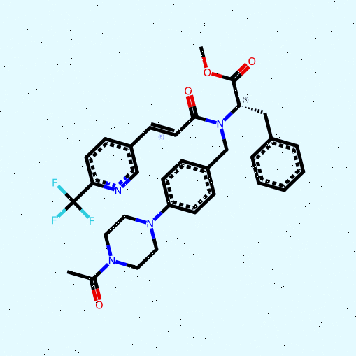 COC(=O)[C@H](Cc1ccccc1)N(Cc1ccc(N2CCN(C(C)=O)CC2)cc1)C(=O)/C=C/c1ccc(C(F)(F)F)nc1